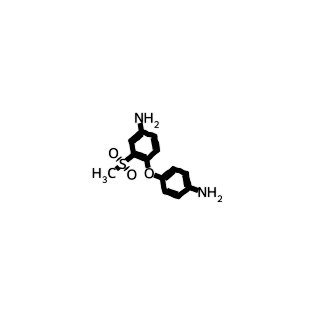 CS(=O)(=O)c1cc(N)ccc1Oc1ccc(N)cc1